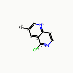 CCc1cnc2ccnc(Cl)c2c1